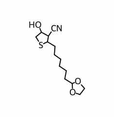 N#CC1C(O)CSC1CCCCCCC1OCCO1